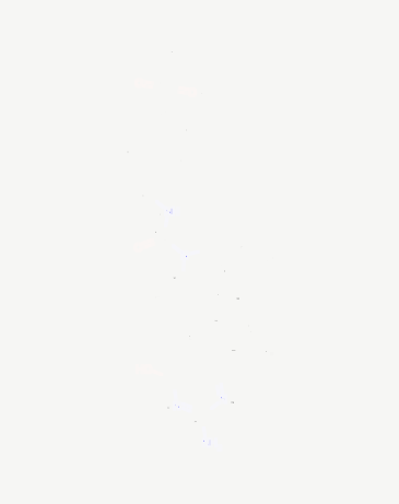 CCS(=O)(=O)c1ccc(CNC(=O)N2CC3(CCCC3)c3cc(-c4c(O)nc(N)nc4C4CC4)ccc32)cc1